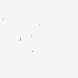 O=C(Nc1cc(-c2ccccc2)sc1C(=O)O)c1ccc(F)cc1F